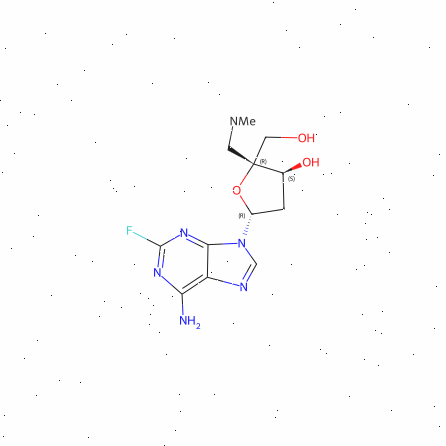 CNC[C@]1(CO)O[C@@H](n2cnc3c(N)nc(F)nc32)C[C@@H]1O